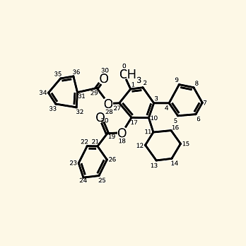 Cc1cc(-c2ccccc2)c(C2CCCCC2)c(OC(=O)c2ccccc2)c1OC(=O)c1ccccc1